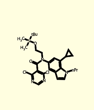 CCCn1ccc2cc(N(CCO[Si](C)(C)C(C)(C)C)C(=O)c3c(Cl)ncnc3Cl)cc(C3CC3)c21